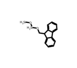 [SiH3]O[SiH2]OCC1c2ccccc2-c2ccccc21